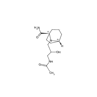 CC(=O)NCC(O)CN1[C@@H]2C[CH]C[C@@]1(C(N)=O)CC2